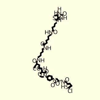 O=C(O)CC(CCCC1OCCN(c2ccc(N3C[C@H](CNC(=O)c4ccc(Cl)s4)OC3=O)cc2)C1=O)C(=O)NCCCCCNC(=O)CCCCCNC(=O)CCCC[C@@H]1SC[C@@H]2NC(=O)N[C@@H]21